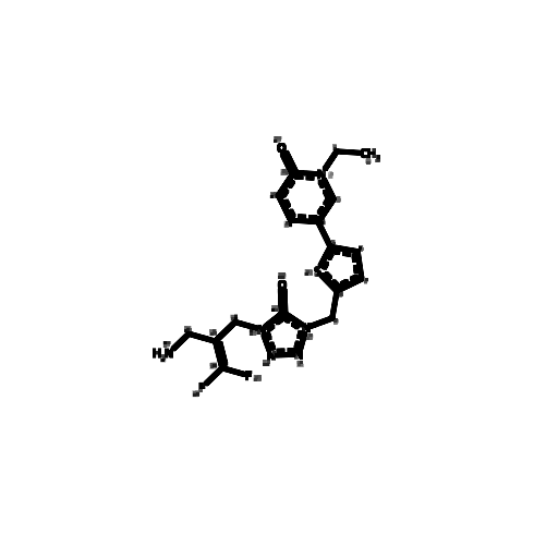 CCn1cc(-c2ccc(Cn3nnn(CC(CN)=C(F)F)c3=O)s2)ccc1=O